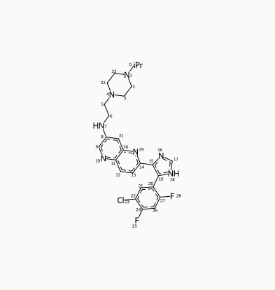 CC(C)N1CCN(CCNc2cnc3ccc(-c4nc[nH]c4-c4cc(Cl)c(F)cc4F)nc3c2)CC1